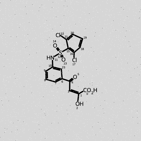 O=C(O)/C(O)=C\C(=O)c1cccc(NS(=O)(=O)c2c(Cl)cccc2Cl)c1